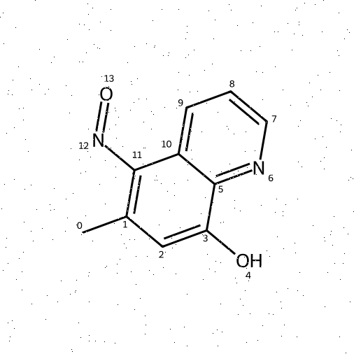 Cc1cc(O)c2ncccc2c1N=O